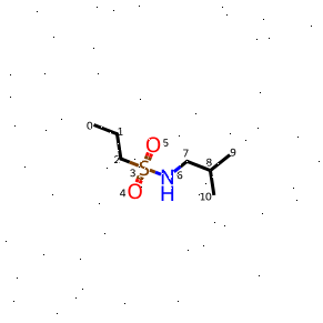 CCCS(=O)(=O)NCC(C)C